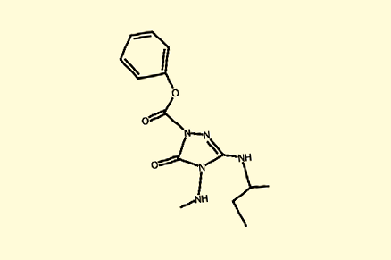 CCC(C)Nc1nn(C(=O)Oc2ccccc2)c(=O)n1NC